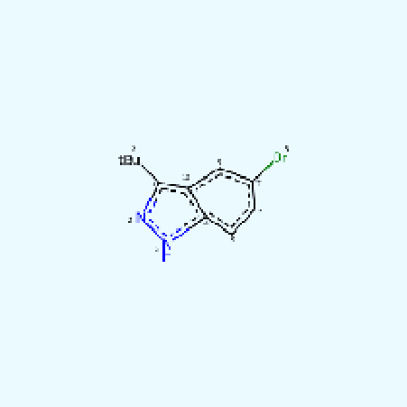 CC(C)(C)c1n[nH]c2ccc(Br)cc12